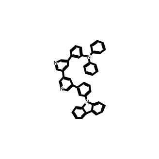 c1ccc(N(c2ccccc2)c2cccc(-c3cncc(-c4cncc(-c5cccc(-n6c7ccccc7c7ccccc76)c5)c4)c3)c2)cc1